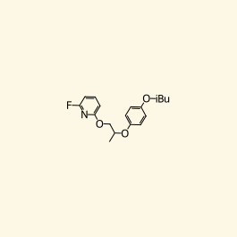 CCC(C)Oc1ccc(OC(C)COc2cccc(F)n2)cc1